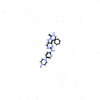 C=C1NCC2(CCCCC2)c2c3nc(Nc4ccc(N5CCN(C)CC5)cn4)ncc3nn21